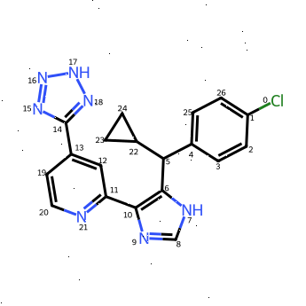 Clc1ccc(C(c2[nH]cnc2-c2cc(-c3nn[nH]n3)ccn2)C2CC2)cc1